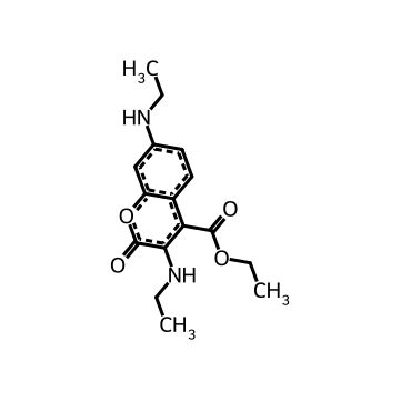 CCNc1ccc2c(C(=O)OCC)c(NCC)c(=O)oc2c1